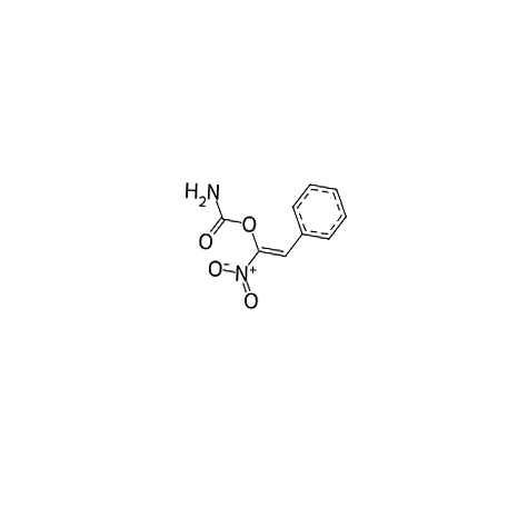 NC(=O)OC(=Cc1ccccc1)[N+](=O)[O-]